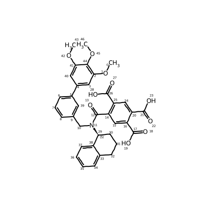 COc1cc(-c2cccc(CN(C(=O)c3cc(C(=O)O)c(C(=O)O)cc3C(=O)O)[C@H]3CCCc4ccccc43)c2)cc(OC)c1OC